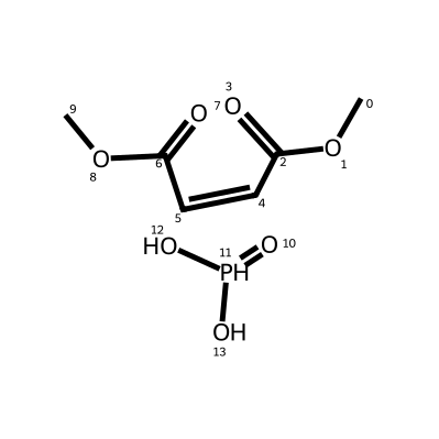 COC(=O)/C=C\C(=O)OC.O=[PH](O)O